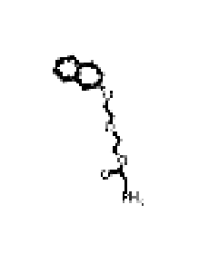 O=C(CP)OCCOCCOc1ccc2ccccc2c1